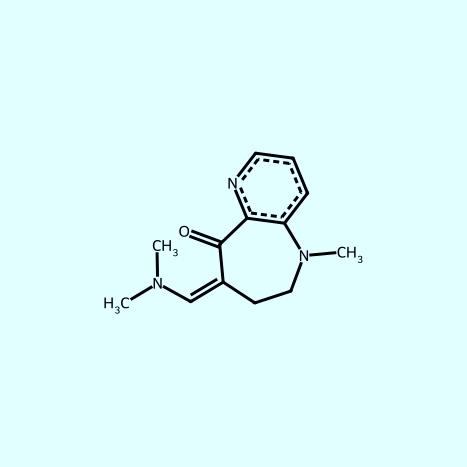 CN(C)/C=C1/CCN(C)c2cccnc2C1=O